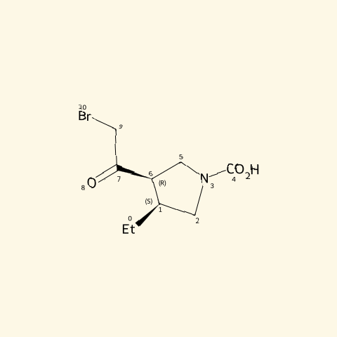 CC[C@@H]1CN(C(=O)O)C[C@@H]1C(=O)CBr